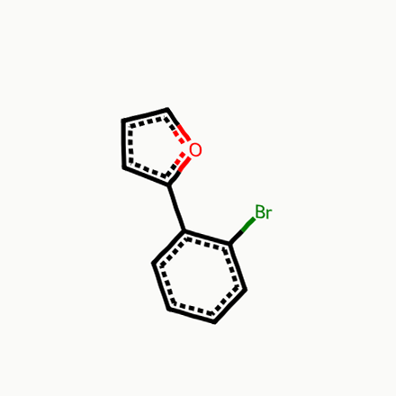 Brc1ccccc1-c1ccco1